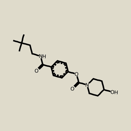 CC(C)(C)CCNC(=O)c1ccc(OC(=O)N2CCC(O)CC2)cc1